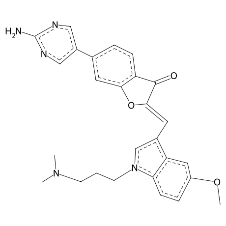 COc1ccc2c(c1)c(/C=C1\Oc3cc(-c4cnc(N)nc4)ccc3C1=O)cn2CCCN(C)C